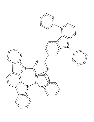 c1ccc(-c2nc(-c3ccc4c5c(-c6ccccc6)cccc5n(-c5ccccc5)c4c3)nc(-n3c4ccccc4c4ccc5c6ccccc6n(-c6ccccc6)c5c43)n2)cc1